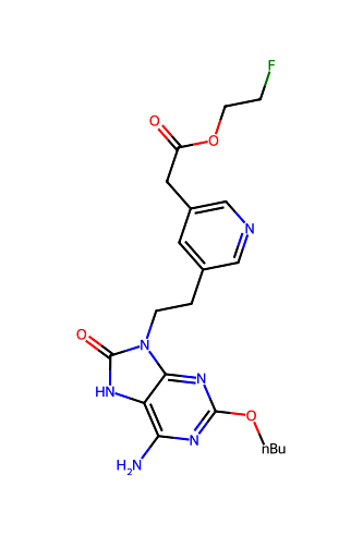 CCCCOc1nc(N)c2[nH]c(=O)n(CCc3cncc(CC(=O)OCCF)c3)c2n1